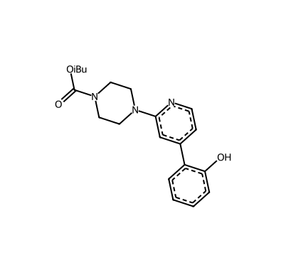 CC(C)COC(=O)N1CCN(c2cc(-c3ccccc3O)ccn2)CC1